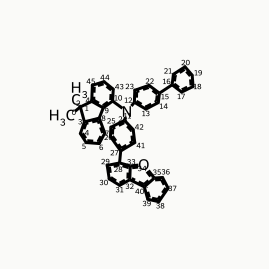 CC1(C)c2ccccc2-c2c(N(c3ccc(-c4ccccc4)cc3)c3ccc(-c4cccc5c4oc4ccccc45)cc3)cccc21